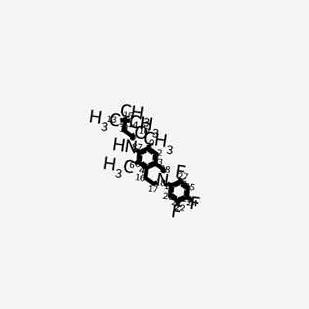 Cc1cc2c(c(C)c1NC(=O)CC(C)(C)C)CCN(c1cc(F)c(F)cc1F)C2